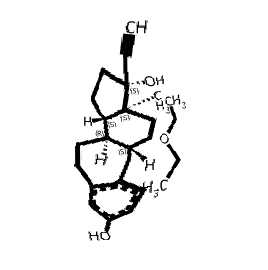 C#C[C@]1(O)CC[C@H]2[C@@H]3CCc4cc(O)ccc4[C@H]3CC[C@@]21C.CCOCC